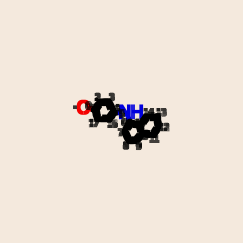 [O]c1ccc(Nc2cccc3ccccc23)cc1